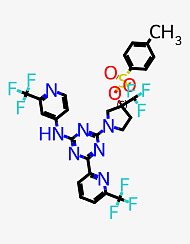 Cc1ccc(S(=O)(=O)O[C@@]2(C(F)(F)F)CCN(c3nc(Nc4ccnc(C(F)(F)F)c4)nc(-c4cccc(C(F)(F)F)n4)n3)C2)cc1